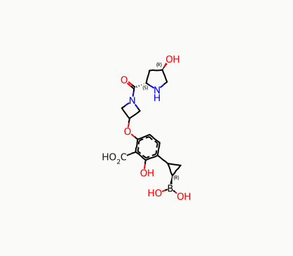 O=C(O)c1c(OC2CN(C(=O)[C@@H]3C[C@@H](O)CN3)C2)ccc(C2C[C@H]2B(O)O)c1O